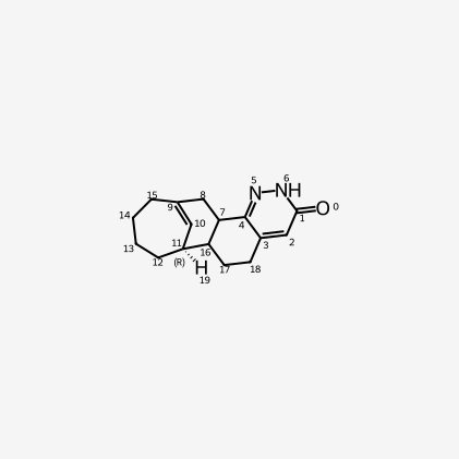 O=c1cc2c(n[nH]1)C1CC3=C[C@H](CCCC3)C1CC2